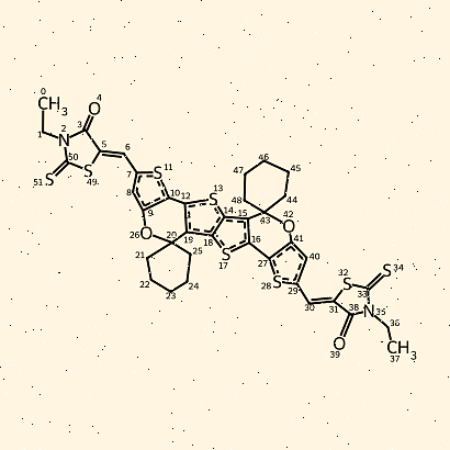 CCN1C(=O)/C(=C/c2cc3c(s2)-c2sc4c5c(sc4c2C2(CCCCC2)O3)-c2sc(/C=C3\SC(=S)N(CC)C3=O)cc2OC52CCCCC2)SC1=S